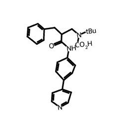 CC(C)(C)N(CC(Cc1ccccc1)C(=O)Nc1ccc(-c2ccncc2)cc1)C(=O)O